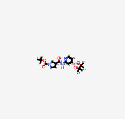 CC(C)(C)OC(=O)N1CCC(C(=O)Nc2cc(B3OC(C)(C)C(C)(C)O3)ccn2)C1